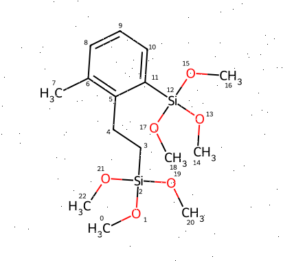 CO[Si](CCc1c(C)cccc1[Si](OC)(OC)OC)(OC)OC